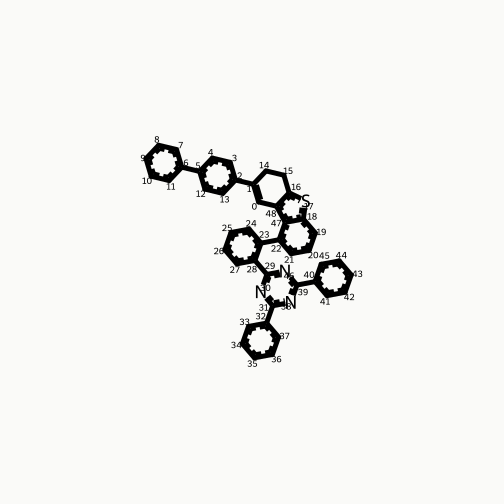 C1=C(c2ccc(-c3ccccc3)cc2)CCc2sc3cccc(-c4ccccc4-c4nc(-c5ccccc5)nc(-c5ccccc5)n4)c3c21